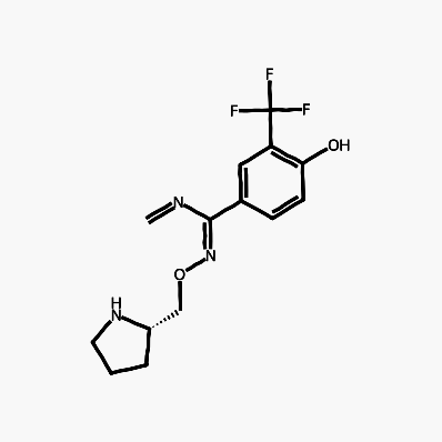 C=N/C(=N\OC[C@@H]1CCCN1)c1ccc(O)c(C(F)(F)F)c1